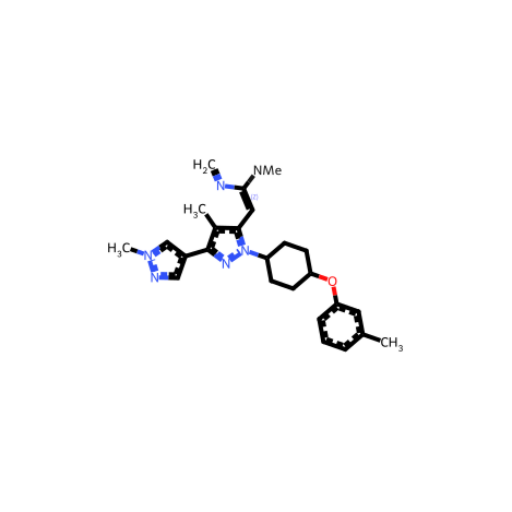 C=N/C(=C\c1c(C)c(-c2cnn(C)c2)nn1C1CCC(Oc2cccc(C)c2)CC1)NC